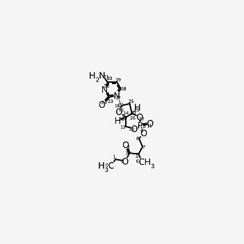 CCOC(=O)C(C)CCOP1(=O)OC[C@@H]2O[C@H](n3ccc(N)nc3=O)C[C@H]2O1